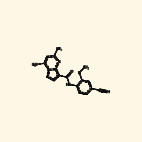 C#Cc1ccc(NC(=O)c2ccn3c(C)cc(C)nc23)c(OC)c1